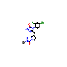 CCNC(=O)N1CC[C@@H](Cc2n[nH]c(=O)n2-c2ccc(Br)cc2F)C1